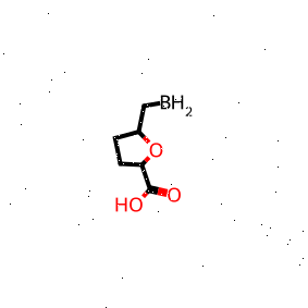 BCC1CCC(C(=O)O)O1